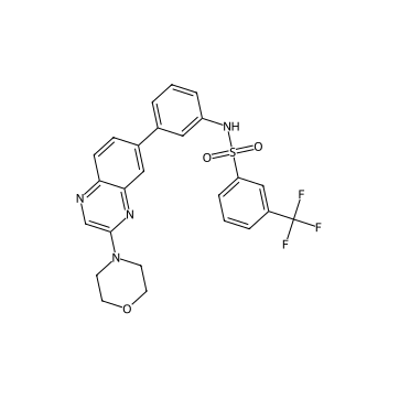 O=S(=O)(Nc1cccc(-c2ccc3ncc(N4CCOCC4)nc3c2)c1)c1cccc(C(F)(F)F)c1